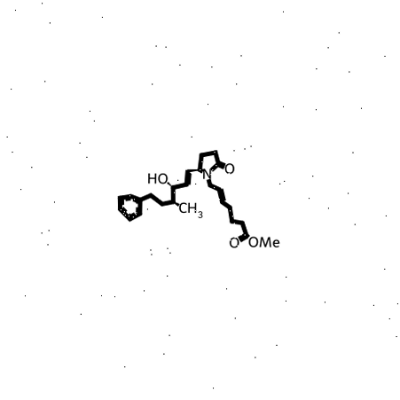 COC(=O)CCCC=CCN1C(=O)CC[C@@H]1C=C[C@@H](O)[C@@H](C)CCc1ccccc1